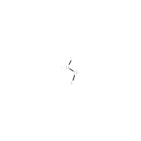 [O-][NH2+]NF